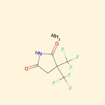 O=C1CC(C(F)(F)F)(C(F)(F)F)C(=O)N1.[AlH3]